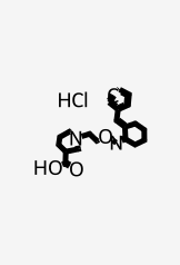 Cl.O=C(O)C1CCCN(CCON=C2CCCCC2=Cc2ccccc2)C1